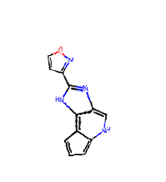 c1cc2[nH]cc3nc(-c4ccon4)[nH]c3c-2c1